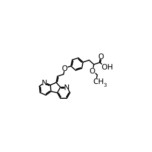 CCOC(Cc1ccc(OCC=C2c3ncccc3-c3cccnc32)cc1)C(=O)O